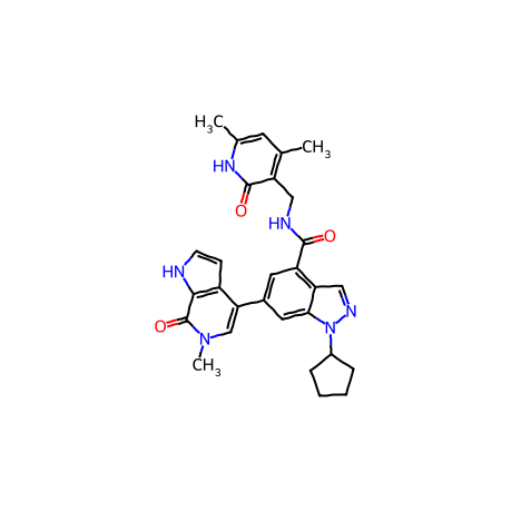 Cc1cc(C)c(CNC(=O)c2cc(-c3cn(C)c(=O)c4[nH]ccc34)cc3c2cnn3C2CCCC2)c(=O)[nH]1